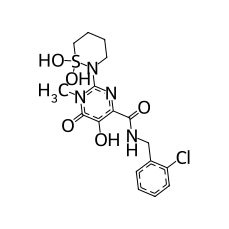 Cn1c(N2CCCCS2(O)O)nc(C(=O)NCc2ccccc2Cl)c(O)c1=O